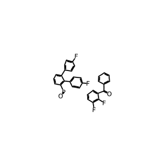 O=C(c1ccccc1)c1cccc(F)c1F.O=Pc1cccc(-c2ccc(F)cc2)c1-c1ccc(F)cc1